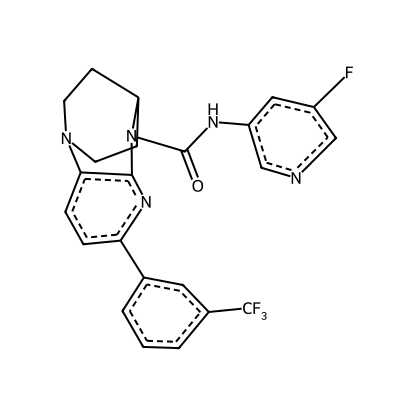 O=C(Nc1cncc(F)c1)N1c2nc(-c3cccc(C(F)(F)F)c3)ccc2N2CCC1CC2